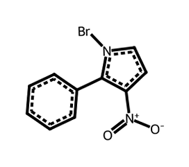 O=[N+]([O-])c1ccn(Br)c1-c1ccccc1